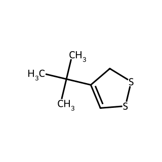 CC(C)(C)C1=CSSC1